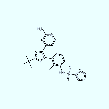 CC(C)(C)c1nc(-c2cccc(NS(=O)(=O)c3ccco3)c2F)c(-c2ccnc(N)n2)s1